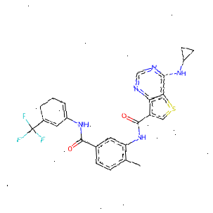 Cc1ccc(C(=O)NC2=CCCC(C(F)(F)F)=C2)cc1NC(=O)c1csc2c(NC3CC3)ncnc12